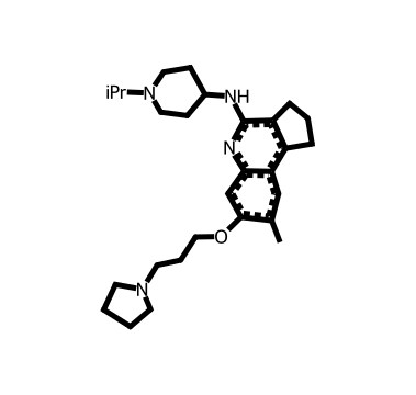 Cc1cc2c3c(c(NC4CCN(C(C)C)CC4)nc2cc1OCCCN1CCCC1)CCC3